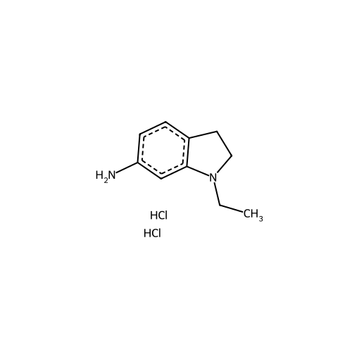 CCN1CCc2ccc(N)cc21.Cl.Cl